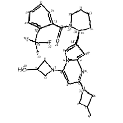 CC1CN(c2cc(N3CC(O)C3)n3cc([C@@H]4CCCCN4C(=O)c4ccccc4C(F)(F)F)cc3n2)C1